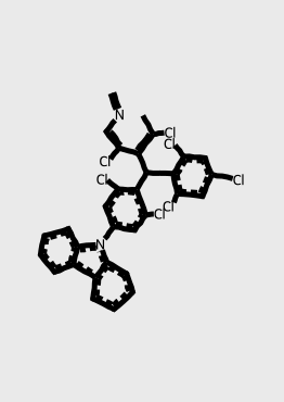 C=N/C=C(Cl)\C(=C(/C)Cl)C(c1c(Cl)cc(Cl)cc1Cl)c1c(Cl)cc(-n2c3ccccc3c3ccccc32)cc1Cl